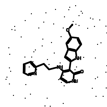 COc1ccc2[nH]c(-c3c(NCCc4ccccn4)cc[nH]c3=O)cc2c1